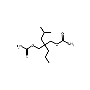 CCCC(COC(N)=O)(COC(N)=O)CC(C)C